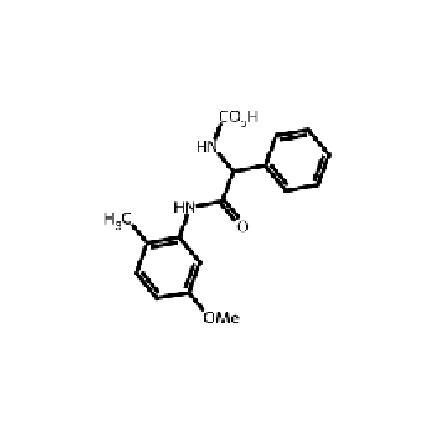 COc1ccc(C)c(NC(=O)C(NC(=O)O)c2ccccc2)c1